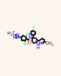 CC1=CN2NC3CCC(NC(=O)c4c(Cl)cc(-n5cnc(C)n5)cc4Cl)(c4ccc(F)cc4)CC3=C2C=C1